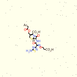 CC(=O)CC(=O)OCC1=C(C(=O)O)N2C(=O)C(NC(=O)C(=NOCCC(=O)O)c3nsc(N)n3)[C@@H]2SC1